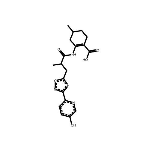 CC1CCC(C(=O)O)=C(NC(=O)C(C)Cc2nc(-c3ccc(O)cn3)no2)C1